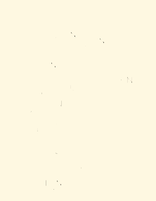 N#Cc1ccc(N2CCCC23CCN(C(=O)O[C@H]2C4CC5CC2C[C@](C(N)=O)(C5)C4)C3)nc1